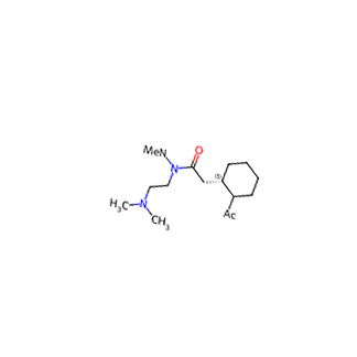 CNN(CCN(C)C)C(=O)C[C@@H]1CCCCC1C(C)=O